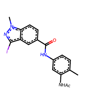 CC(=O)Nc1cc(NC(=O)c2ccc3c(c2)c(I)nn3C)ccc1C